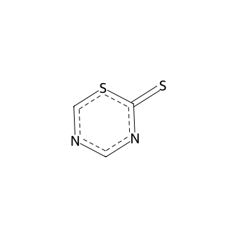 S=c1ncncs1